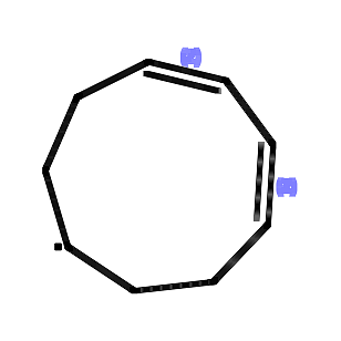 [CH]1CC/C=C\C=C/CC1